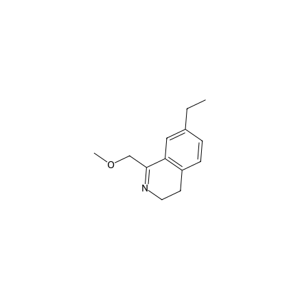 CCc1ccc2c(c1)C(COC)=NCC2